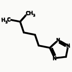 CC(C)CCCC1=NCN=N1